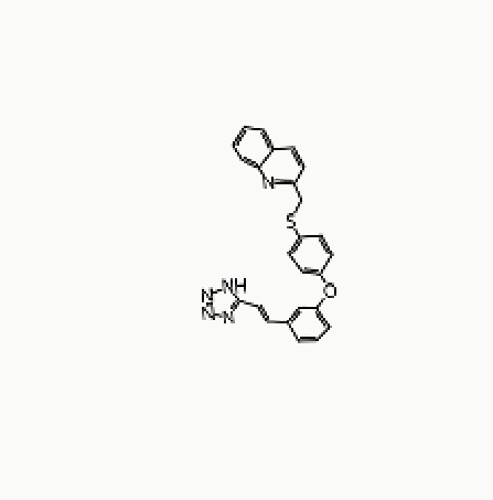 C(=Cc1nnn[nH]1)c1cccc(Oc2ccc(SCc3ccc4ccccc4n3)cc2)c1